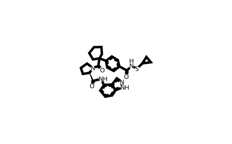 O=C(NSC1CC1)c1ccc(C2(C(=O)N3CCC[C@@H]3C(=O)Nc3cccc4[nH]ncc34)CCCCC2)cc1